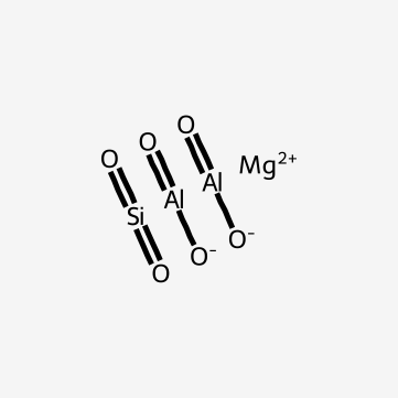 O=[Si]=O.[Mg+2].[O]=[Al][O-].[O]=[Al][O-]